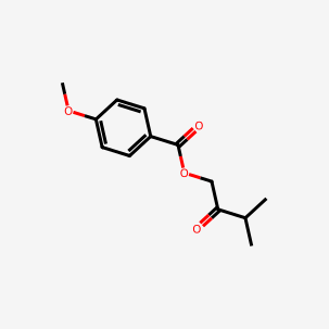 COc1ccc(C(=O)OCC(=O)C(C)C)cc1